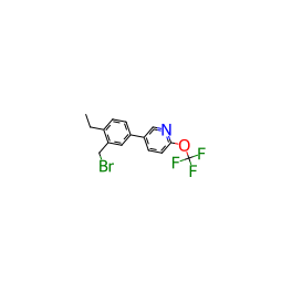 CCc1ccc(-c2ccc(OC(F)(F)F)nc2)cc1CBr